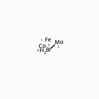 [Co].[Fe].[Mo][BiH2]